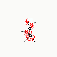 CCCC(=O)Oc1cc(OC(=O)CCC)c2c(=O)c(OC(=O)CCC)c(-c3ccc(CCCC(=O)O)c(OC(=O)CCC)c3)oc2c1